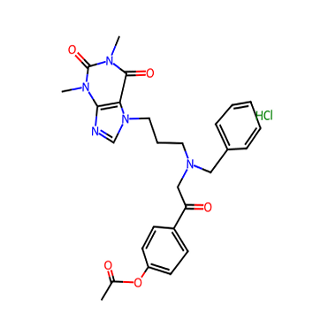 CC(=O)Oc1ccc(C(=O)CN(CCCn2cnc3c2c(=O)n(C)c(=O)n3C)Cc2ccccc2)cc1.Cl